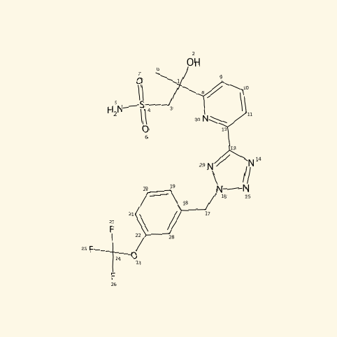 CC(O)(CS(N)(=O)=O)c1cccc(-c2nnn(Cc3cccc(OC(F)(F)F)c3)n2)n1